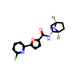 O=C(N[C@@H]1C[C@H]2CC[C@@H]1N2)c1ccc(-c2cccc(F)n2)o1